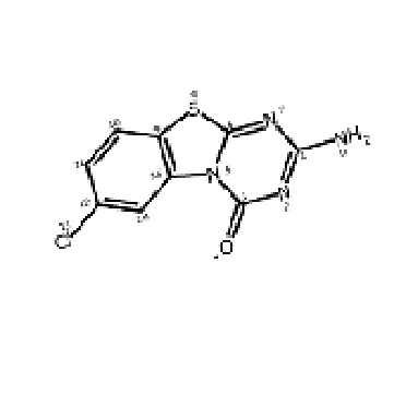 Nc1nc(=O)n2c(n1)sc1ccc(Cl)cc12